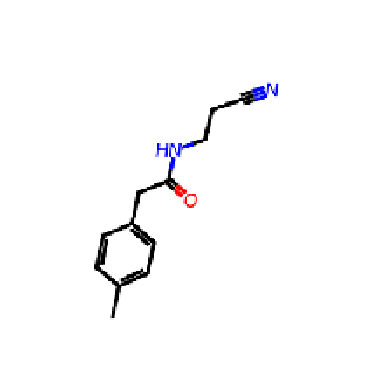 Cc1ccc(CC(=O)NCCC#N)cc1